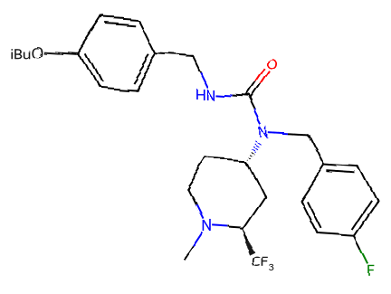 CC(C)COc1ccc(CNC(=O)N(Cc2ccc(F)cc2)[C@H]2CCN(C)[C@H](C(F)(F)F)C2)cc1